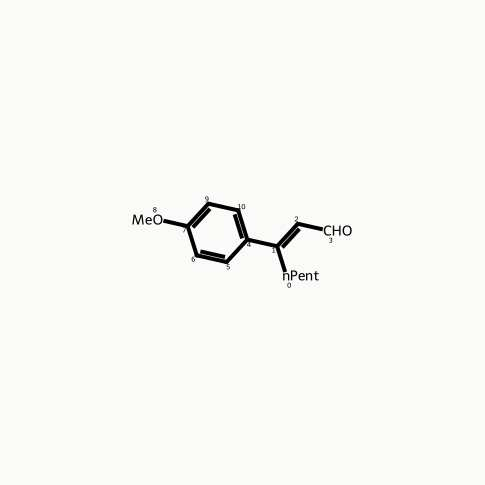 CCCCCC(=CC=O)c1ccc(OC)cc1